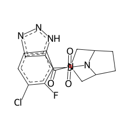 O=C(c1cnn[nH]1)N1CC2CCC(C1)N2S(=O)(=O)c1cccc(Cl)c1F